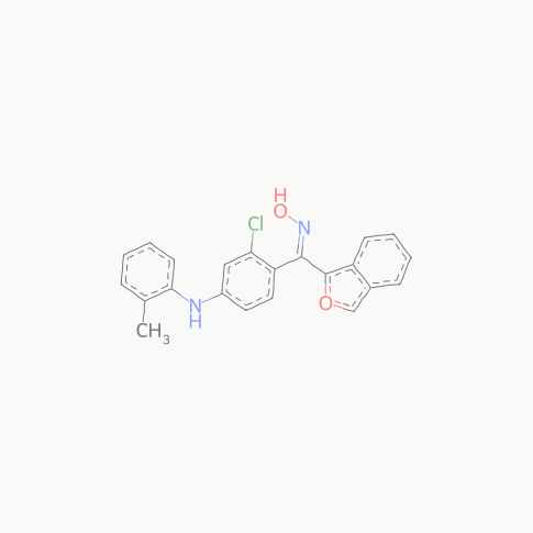 Cc1ccccc1Nc1ccc(C(=NO)c2occ3ccccc23)c(Cl)c1